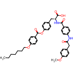 CCCCCCCOc1ccc(C(=O)Oc2ccc(C[C@H](NC(=O)c3ccc(NC(=O)Cc4ccc(OC)cc4)cc3)C(=O)O)cc2)cc1